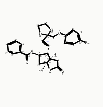 O=C1C[C@@H]2[C@@H](/C=C/C3(COc4ccc(F)cc4)OCCO3)[C@H](OC(=O)c3ccccc3)C[C@@H]2O1